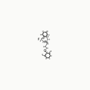 Cc1cccc(C)c1OCCCNCc1ccccc1C(F)(F)F